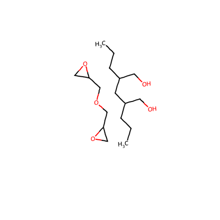 C(OCC1CO1)C1CO1.CCCC(CO)CC(CO)CCC